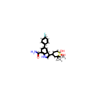 CC1(C)CC(c2c[nH]c3c(C(N)=O)cc(-c4ccc(F)cc4)cc23)CCS1(O)O